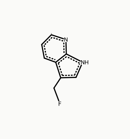 FCc1c[nH]c2n[c]ccc12